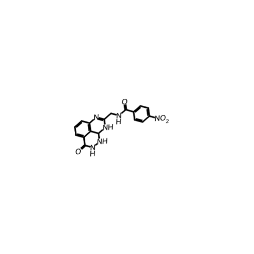 O=C(NCC1=Nc2cccc3c2C(NNC3=O)N1)c1ccc([N+](=O)[O-])cc1